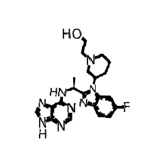 C[C@H](Nc1ncnc2[nH]cnc12)c1nc2ccc(F)cc2n1C1CCCN(CCO)C1